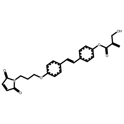 C=C(CO)C(=O)Oc1ccc(/C=C/c2ccc(OCCCN3C(=O)C=CC3=O)cc2)cc1